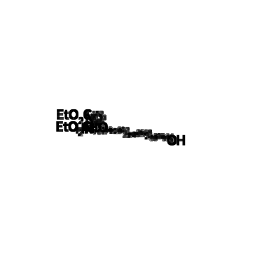 CCOC(=O)Nc1ccccc1.CCOC(=O)Nc1ccccc1.OCC#CC#CCCC#CC#CCCC#CC#CCO